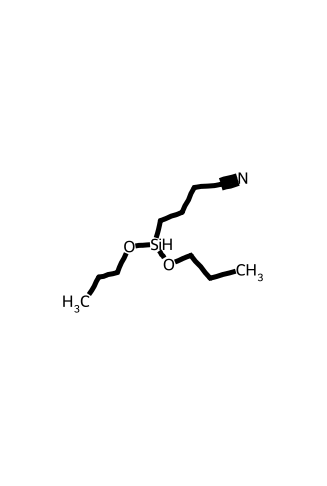 CCCO[SiH](CCCC#N)OCCC